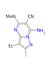 CCc1c(C)nn2c(N)c(C#N)c(NC)nc12